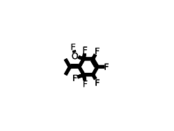 CC(C)=C1C(F)(OF)C(F)=C(F)C(F)C1(F)F